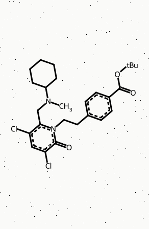 CN(Cc1c(Cl)cc(Cl)c(=O)n1CCc1ccc(C(=O)OC(C)(C)C)cc1)C1CCCCC1